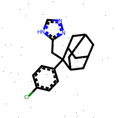 Clc1ccc(C2(Cc3nnc[nH]3)C3CC4CC(C3)CC2C4)cc1